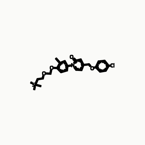 Cc1cc(-n2ccc(COc3ccc(Cl)cc3)cc2=O)ccc1OCOCC[Si](C)(C)C